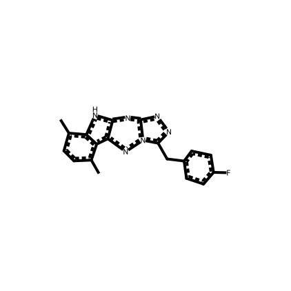 Cc1ccc(C)c2c1[nH]c1nc3nnc(Cc4ccc(F)cc4)n3nc12